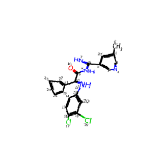 Cc1cncc(C(=N)NC(=O)C(Nc2ccc(Cl)c(Cl)c2)c2ccccc2)c1